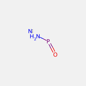 NP=O.[N]